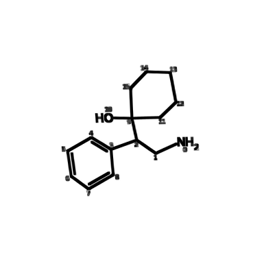 NCC(c1ccccc1)C1(O)CCCCC1